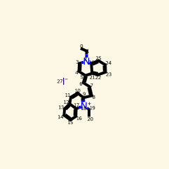 CCN1C=C/C(=C/C=C\c2ccc3ccccc3[n+]2CC)c2ccccc21.[I-]